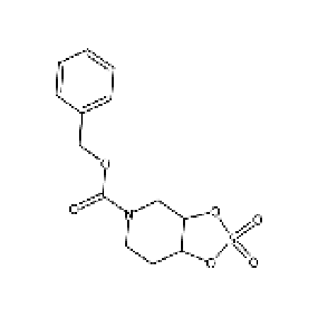 O=C(OCc1ccccc1)N1CCC2OS(=O)(=O)OC2C1